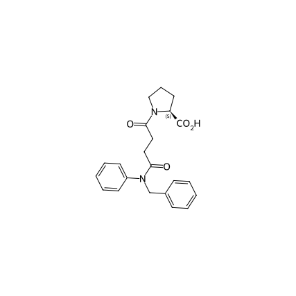 O=C(O)[C@@H]1CCCN1C(=O)CCC(=O)N(Cc1ccccc1)c1ccccc1